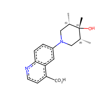 C[C@@H]1CN(c2ccc3nccc(C(=O)O)c3c2)C[C@H](C)[C@]1(C)O